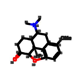 CCC[C@@]12c3c4ccc(OC)c3CC(N(C)C)C1CCC(=O)C2O4